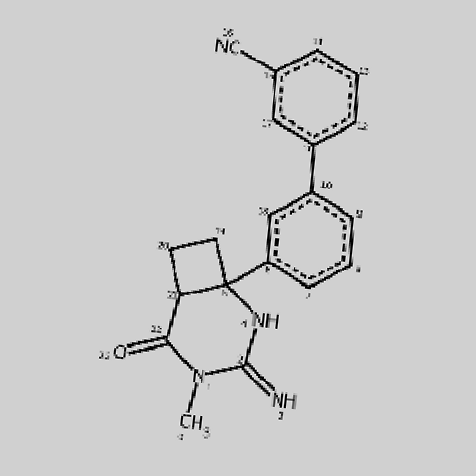 CN1C(=N)NC2(c3cccc(-c4cccc(C#N)c4)c3)CCC2C1=O